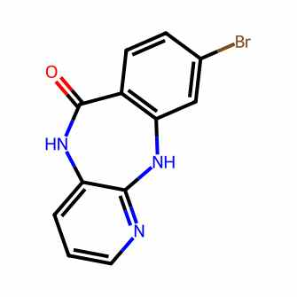 O=C1Nc2cccnc2Nc2cc(Br)ccc21